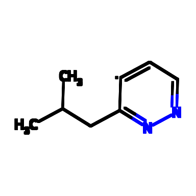 CC(C)Cc1[c]ccnn1